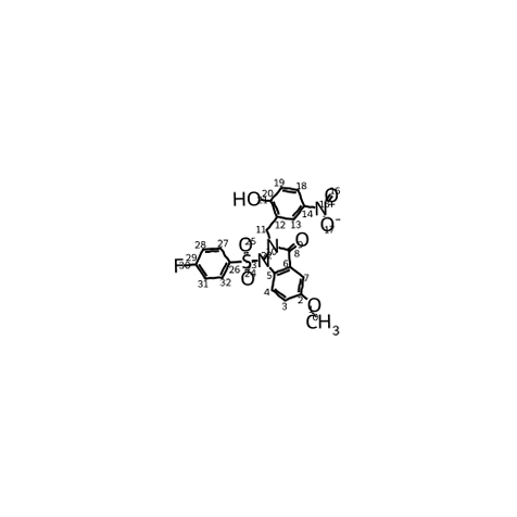 COc1ccc2c(c1)c(=O)n(Cc1cc([N+](=O)[O-])ccc1O)n2S(=O)(=O)c1ccc(F)cc1